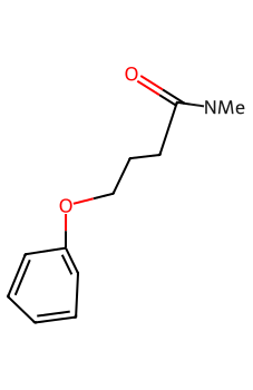 CNC(=O)CCCOc1ccccc1